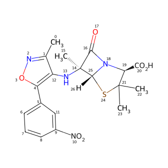 Cc1noc(-c2cccc([N+](=O)[O-])c2)c1N[C@@]1(C)C(=O)N2[C@@H](C(=O)O)C(C)(C)S[C@@H]21